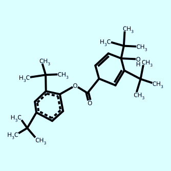 CC(C)(C)C1=CC(C(=O)Oc2ccc(C(C)(C)C)cc2C(C)(C)C)C=CC1(O)C(C)(C)C